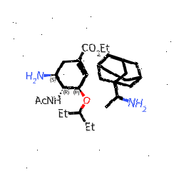 CC(N)C12CC3CC(CC(C3)C1)C2.CCOC(=O)C1=C[C@@H](OC(CC)CC)[C@H](NC(C)=O)[C@@H](N)C1